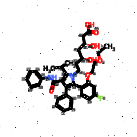 CCOCCOc1cc(F)ccc1-c1c(-c2ccccc2)c(C(=O)Nc2ccccc2)c(C(C)C)n1CC[C@@H](O)C[C@@H](O)CC(=O)O